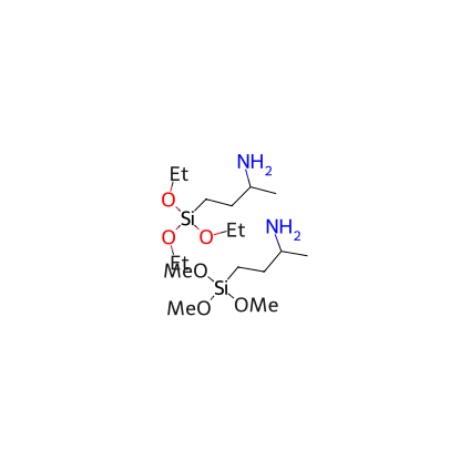 CCO[Si](CCC(C)N)(OCC)OCC.CO[Si](CCC(C)N)(OC)OC